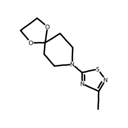 Cc1nsc(N2CCC3(CC2)OCCO3)n1